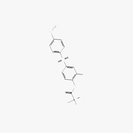 CC(C)Nc1ccc(S(=O)(=O)c2ccc(NC(=O)[C@@](C)(O)C(F)(F)F)c(Cl)c2)cc1